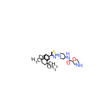 CC1(C)CCC(C)(C)c2cc(-c3csc(N4CCC(NC(=O)C5CNCCO5)CC4)n3)ccc21